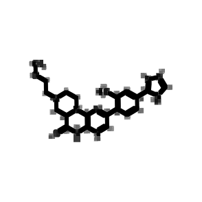 COCCN1CCN2c3nc(-c4ccc(-c5nnc[nH]5)cc4C)cnc3NC(=O)C2C1